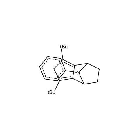 CC(C)(C)C1=C2C(=C(C(C)(C)C)C1)C1CCC2N1c1ccccc1